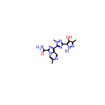 CCn1nc(C)c(O)c1-c1nc(-c2nc(C(N)=O)n3cc(C)ncc23)n(C)n1